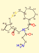 NCCC(=O)N1CC(=O)C2CCCCCC(CSSCC3CCCC3C(=O)C1)C2